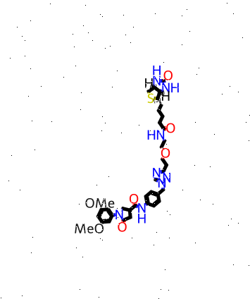 COc1ccc(OC)c(N2CC(C(=O)Nc3ccc(Cn4cnc(CCOCCNC(=O)CCCC[C@@H]5SC[C@@H]6NC(=O)N[C@@H]65)n4)cc3)CC2=O)c1